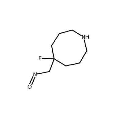 O=NCC1(F)CCCNCCC1